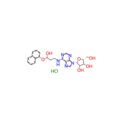 Cl.OC[C@H]1O[C@@H](n2cnc3c(NCCC(O)Oc4cccc5ccccc45)ncnc32)C(O)C1O